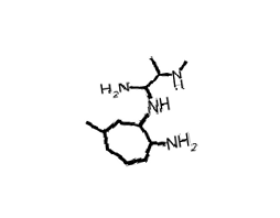 CNC(C)C(N)NC1CC(C)CCCC1N